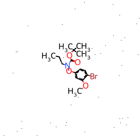 CCCN(Oc1ccc(Br)c(OC)c1)C(=O)OC(C)(C)C